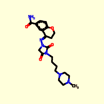 CN1CCN(CCCCN2C(=O)CN(/N=C3\CCOc4ccc(C(N)=O)cc43)C2=O)CC1